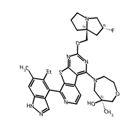 CCc1c(C)cc2[nH]ncc2c1-c1nccc2c1sc1nc(OC[C@@]34CCCN3C[C@H](F)C4)nc(N3CCOC[C@@](C)(O)C3)c12